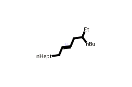 CCCCCCCC/C=C/CC(CC)CCCC